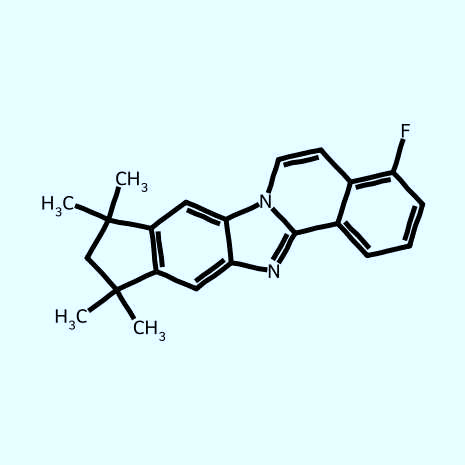 CC1(C)CC(C)(C)c2cc3c(cc21)nc1c2cccc(F)c2ccn31